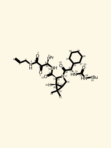 C=CCNC(=O)C(=O)[C@@H](CCC)NC(=O)[C@@H]1[C@@H]2C(CN1C(=O)[C@@H](NC(=O)NC(C)(C)C)C1CCCCC1)C2(C)C